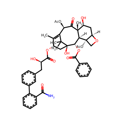 CC(=O)O[C@H]1C(=O)[C@@]2(C)[C@H]([C@H](OC(=O)c3ccccc3)[C@]3(O)C[C@H](OC(=O)[C@H](O)Cc4cccc(-c5ccccc5C(N)=O)c4)C(C)=C1C3(C)C)[C@]1(OC(C)=O)CO[C@@H]1C[C@@H]2O